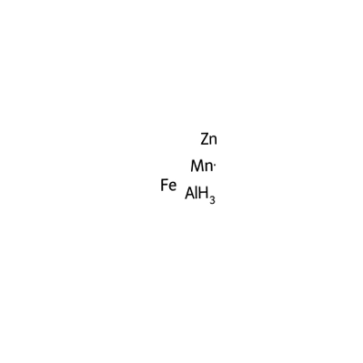 [AlH3].[Fe].[Mn].[Zn]